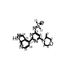 CC1COCCN1c1cc(N=S(C)(C)=O)nc(-c2ccnc3[nH]ncc23)n1